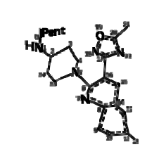 CCCC(C)NC1CCN(c2nc3ccc(C)cc3cc2-c2noc(C)n2)CC1